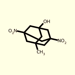 CC12CC3(O)CC([N+](=O)[O-])(C1)CC([N+](=O)[O-])(C2)C3